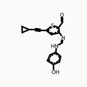 O=Cc1sc(C#CC2CC2)cc1/N=C\Nc1ccc(O)cc1